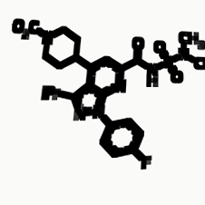 CC(C)c1nn(-c2ccc(F)cc2)c2nc(C(=O)NS(=O)(=O)N(C)C)cc(C3CCN(C(=O)O)CC3)c12